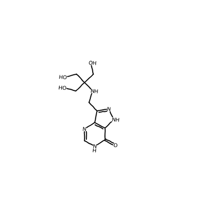 O=c1[nH]cnc2c(CNC(CO)(CO)CO)n[nH]c12